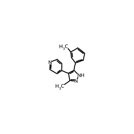 Cc1cccc(-c2[nH]nc(C)c2-c2ccncc2)c1